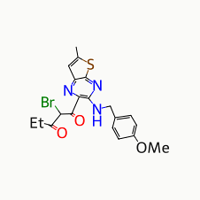 CCC(=O)C(Br)C(=O)c1nc2cc(C)sc2nc1NCc1ccc(OC)cc1